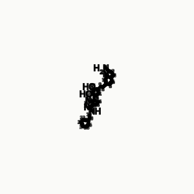 Nc1ccc2ccc(CC[C@H]3C[C@@H](n4ccc5c(NCCc6ccccc6)ncnc54)[C@H](O)[C@@H]3O)cc2n1